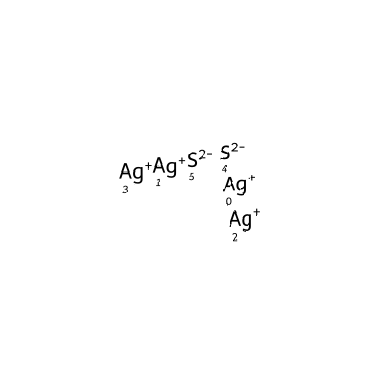 [Ag+].[Ag+].[Ag+].[Ag+].[S-2].[S-2]